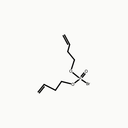 C=CCCOP(=O)(Br)OCCC=C